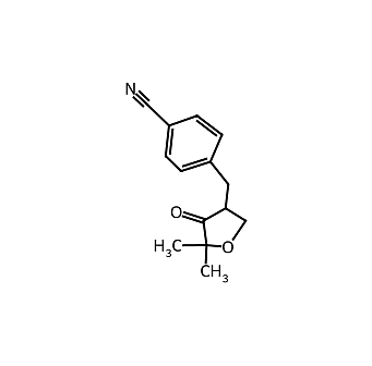 CC1(C)OCC(Cc2ccc(C#N)cc2)C1=O